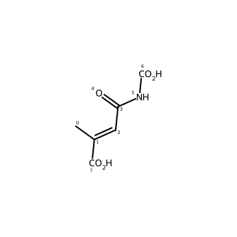 CC(=CC(=O)NC(=O)O)C(=O)O